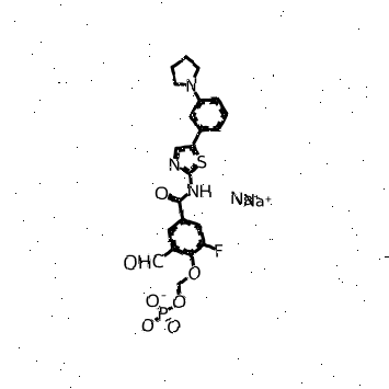 O=Cc1cc(C(=O)Nc2ncc(-c3cccc(N4CCCC4)c3)s2)cc(F)c1OCOP(=O)([O-])[O-].[Na+].[Na+]